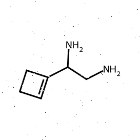 NCC(N)C1=CCC1